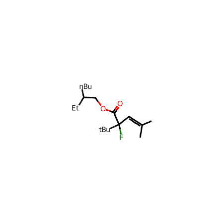 CCCCC(CC)COC(=O)C(F)(C=C(C)C)C(C)(C)C